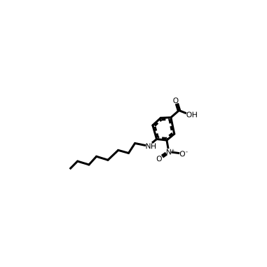 CCCCCCCCNc1ccc(C(=O)O)cc1[N+](=O)[O-]